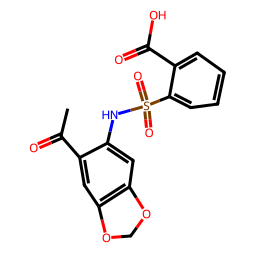 CC(=O)c1cc2c(cc1NS(=O)(=O)c1ccccc1C(=O)O)OCO2